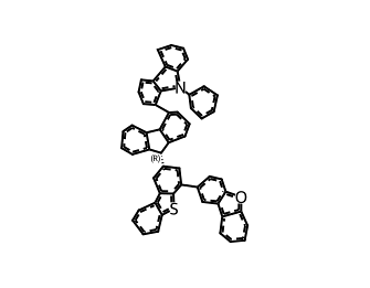 c1ccc(-n2c3ccccc3c3cccc(-c4cccc5c4-c4ccccc4[C@H]5c4cc(-c5ccc6oc7ccccc7c6c5)c5sc6ccccc6c5c4)c32)cc1